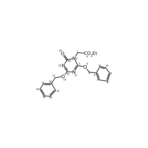 CCOC(=O)Cn1c(OCc2ccccc2)nc(OCc2ccccc2)nc1=O